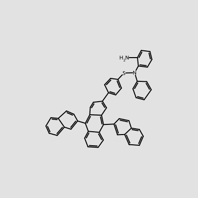 Nc1ccccc1N(Sc1ccc(-c2ccc3c(-c4ccc5ccccc5c4)c4ccccc4c(-c4ccc5ccccc5c4)c3c2)cc1)c1ccccc1